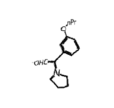 CCCOc1cccc(C([C]=O)N2CCCC2)c1